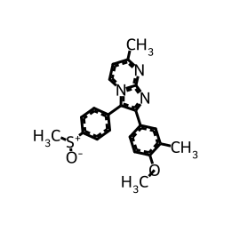 COc1ccc(-c2nc3nc(C)ccn3c2-c2ccc([S+](C)[O-])cc2)cc1C